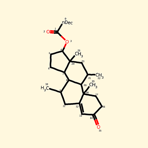 CCCCCCCCCCC(=O)OC1CCC2C3C(C)CC4=CC(=O)CCC4(C)C3C(C)CC12C